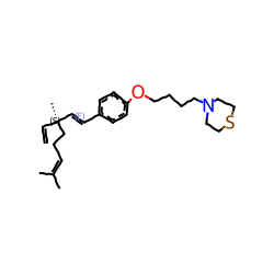 C=C[C@@](C)(/C=C/c1ccc(OCCCCN2CCSCC2)cc1)CCC=C(C)C